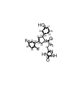 CN(Cc1n[nH]c(=O)[nH]1)C(=O)N1CC(c2cc(F)ccc2F)=CC1c1cccc(O)c1